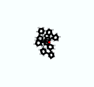 c1ccc(-c2ccccc2-c2cccc(-n3c4ccccc4c4cc(-n5c6ccccc6c6cccc([Si](c7ccccc7)(c7ccccc7)c7ccccc7)c65)ccc43)c2)cc1